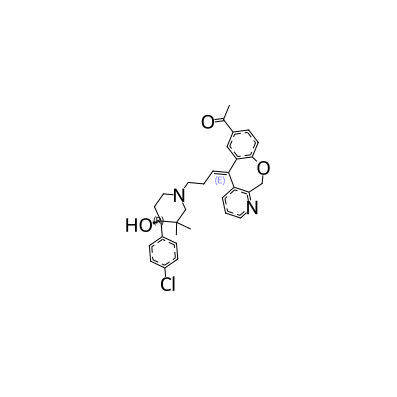 CC(=O)c1ccc2c(c1)/C(=C/CCN1CC[C@@](O)(c3ccc(Cl)cc3)C(C)(C)C1)c1cccnc1CO2